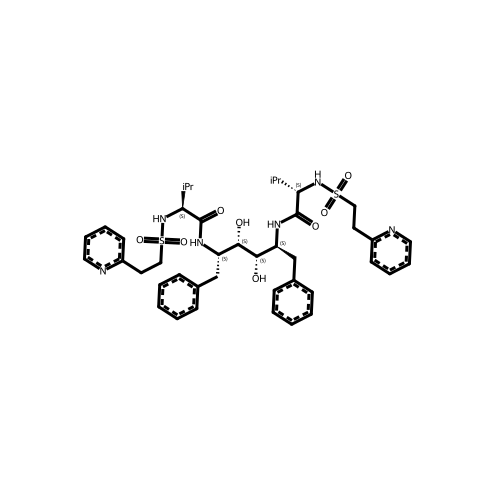 CC(C)[C@H](NS(=O)(=O)CCc1ccccn1)C(=O)N[C@@H](Cc1ccccc1)[C@H](O)[C@@H](O)[C@H](Cc1ccccc1)NC(=O)[C@@H](NS(=O)(=O)CCc1ccccn1)C(C)C